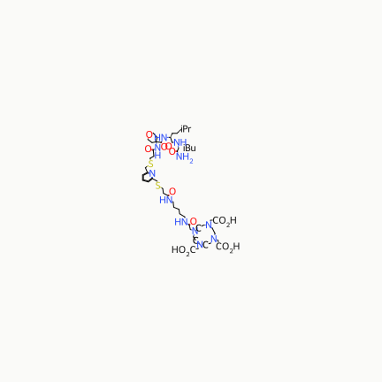 CC[C@H](C)[C@H](NC(=O)[C@H](CCC(C)C)NC(=O)C1(NC(=O)CCSCc2cccc(CSCCC(=O)NCCCCCNC(=O)CN3CCN(CC(=O)O)CCN(CC(=O)O)CCN(CC(=O)O)CC3)n2)CCOCC1)C(N)=O